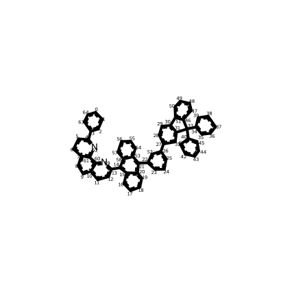 c1ccc(-c2ccc3ccc4ccc(-c5c6ccccc6c(-c6cccc(-c7ccc8c(c7)C(c7ccccc7)(c7ccccc7)c7ccccc7-8)c6)c6ccccc56)nc4c3n2)cc1